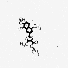 CCOC(=O)c1sc(-c2cc(C)c3ccc(OC)c(F)c3c2)nc1C